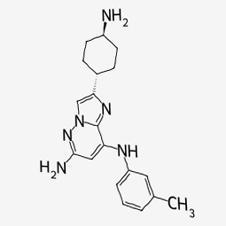 Cc1cccc(Nc2cc(N)nn3cc([C@H]4CC[C@H](N)CC4)nc23)c1